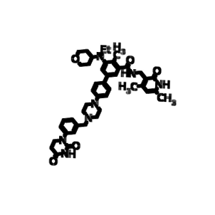 CCN(c1cc(-c2ccc(N3CCN(Cc4cccc(N5CCC(=O)NC5=O)c4)CC3)cc2)cc(C(=O)NCc2c(C)cc(C)[nH]c2=O)c1C)C1CCOCC1